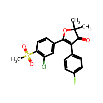 CC1(C)OC(c2ccc(S(C)(=O)=O)c(Cl)c2)=C(c2ccc(F)cc2)C1=O